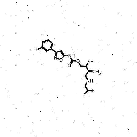 C=C(CNCC(F)F)C(S)COC(=O)Nc1cc(-c2cccc(F)c2)no1